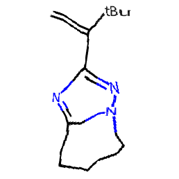 C=C(c1nc2n(n1)CCC2)C(C)(C)C